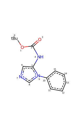 CC(C)(C)OC(=O)Nc1cncn1-c1ccccc1